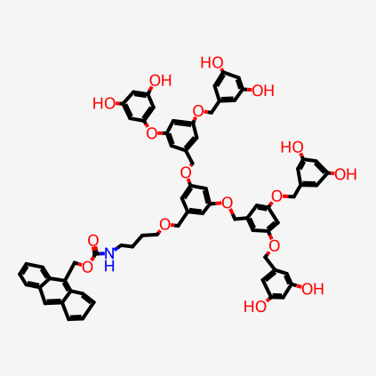 O=C(NCCCCOCc1cc(OCc2cc(OCc3cc(O)cc(O)c3)cc(OCc3cc(O)cc(O)c3)c2)cc(OCc2cc(OCc3cc(O)cc(O)c3)cc(Oc3cc(O)cc(O)c3)c2)c1)OCc1c2ccccc2cc2ccccc12